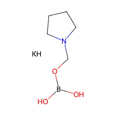 OB(O)OCN1CCCC1.[KH]